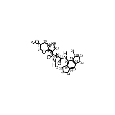 CO[C@H]1COc2c(S(N)(=O)=NC(=O)Nc3c4c(cc5c3[C@@H](C)CC5)CCC4)cnn2C1